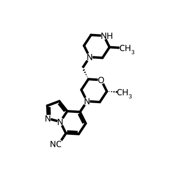 CC1CN(C[C@H]2CN(c3ccc(C#N)n4nccc34)C[C@@H](C)O2)CCN1